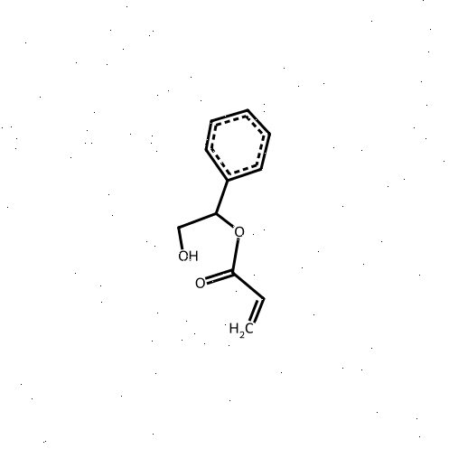 C=CC(=O)OC(CO)c1ccccc1